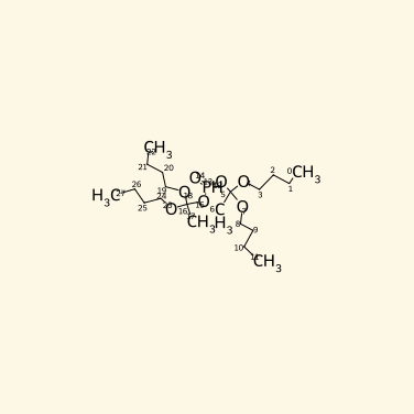 CCCCOC(C)(OCCCC)O[PH](=O)OC(C)(OCCCC)OCCCC